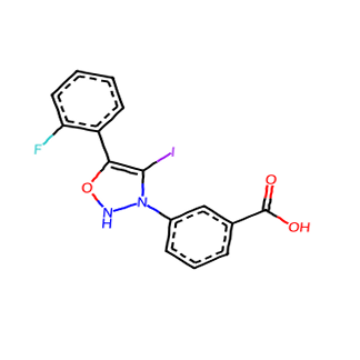 O=C(O)c1cccc(N2NOC(c3ccccc3F)=C2I)c1